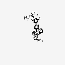 CC(C)COc1cc(F)cc(-c2ccc(C(=O)NS(=O)(=O)c3cccc(N)n3)c(N3CCCC4CC43)n2)c1